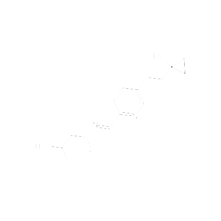 CC(C)C[S+]([O-])/N=C/c1ccc(OCC2(C)CC2)cn1